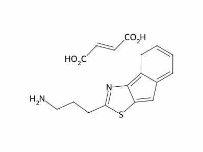 NCCCc1nc2c(s1)=CC1=CC=CCC=21.O=C(O)C=CC(=O)O